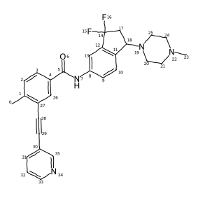 Cc1ccc(C(=O)Nc2ccc3c(c2)C(F)(F)CC3N2CCN(C)CC2)cc1C#Cc1cccnc1